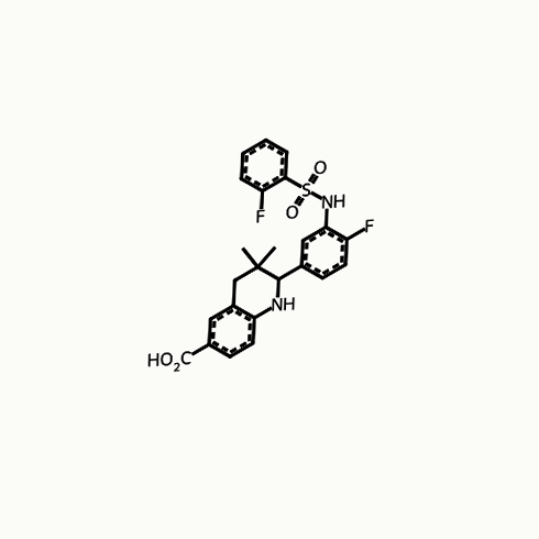 CC1(C)Cc2cc(C(=O)O)ccc2NC1c1ccc(F)c(NS(=O)(=O)c2ccccc2F)c1